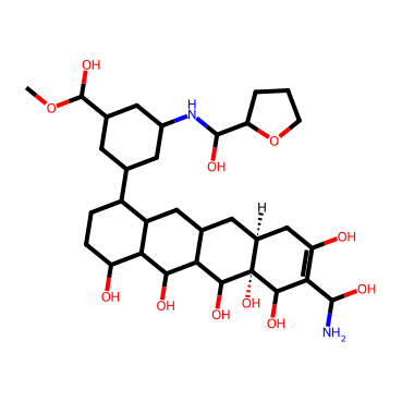 COC(O)C1CC(NC(O)C2CCCO2)CC(C2CCC(O)C3C(O)C4C(CC23)C[C@H]2CC(O)=C(C(N)O)C(O)[C@@]2(O)C4O)C1